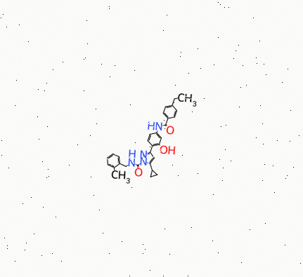 CCc1ccc(C(=O)Nc2ccc(-c3cc(C4CC4)n(C(=O)NCc4ccccc4C)n3)c(O)c2)cc1